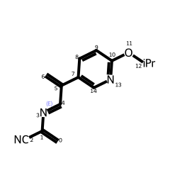 C=C(C#N)/N=C/C(=C)c1ccc(OC(C)C)nc1